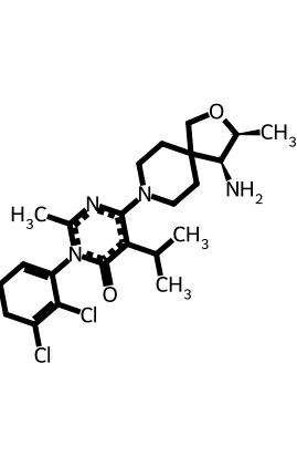 Cc1nc(N2CCC3(CC2)CO[C@@H](C)[C@H]3N)c(C(C)C)c(=O)n1C1=CCCC(Cl)=C1Cl